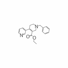 CCOC(=O)C1=C(c2cccnc2)CCN(Cc2ccccc2)C1